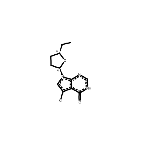 CC[C@@H]1CC[C@H](n2cc(Cl)c3c(=O)[nH]cnc32)O1